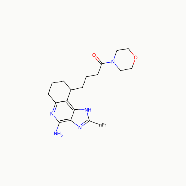 CCCc1nc2c(N)nc3c(c2[nH]1)C(CCCC(=O)N1CCOCC1)CCC3